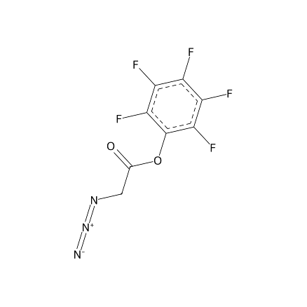 [N-]=[N+]=NCC(=O)Oc1c(F)c(F)c(F)c(F)c1F